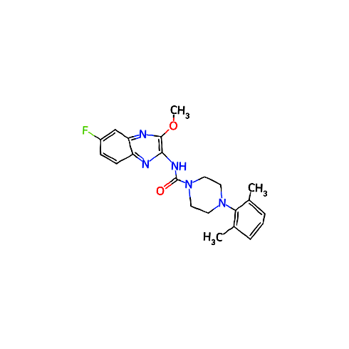 COc1nc2cc(F)ccc2nc1NC(=O)N1CCN(c2c(C)cccc2C)CC1